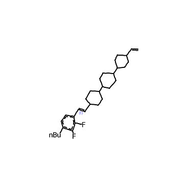 C=CC1CCC(C2CCC(C3CCC(/C=C/c4ccc(CCCC)c(F)c4F)CC3)CC2)CC1